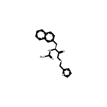 CC(C)COC(=O)N[C@@H](Cc1ccc2ccccc2c1)C(=O)CSCc1ccco1